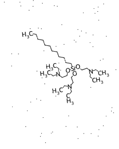 CCCCCCCCCCCC[Si](OCCN(CC)CC)(OCCN(CC)CC)OCCN(CC)CC